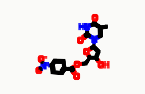 Cc1cn([C@H]2CC(O)[C@@H](COC(=O)c3ccc([N+](=O)[O-])cc3)O2)c(=O)[nH]c1=O